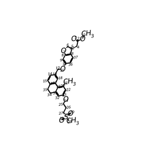 COC(=O)C[C@@H]1COc2cc(OCc3ccc4c(c3)-c3c(C)cc(OCCCS(C)(=O)=O)cc3CC4)ccc21